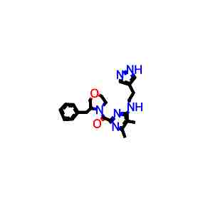 Cc1nc(C(=O)N2CCOCC2Cc2ccccc2)nc(NCCc2cn[nH]c2)c1C